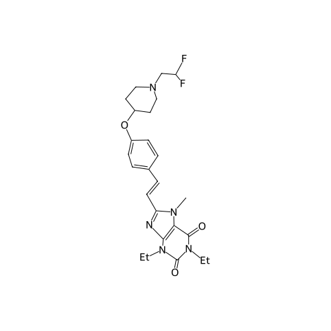 CCn1c(=O)c2c(nc(C=Cc3ccc(OC4CCN(CC(F)F)CC4)cc3)n2C)n(CC)c1=O